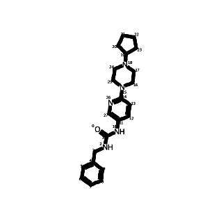 O=C(NCc1ccccc1)Nc1ccc(N2CCN(C3CCCC3)CC2)nc1